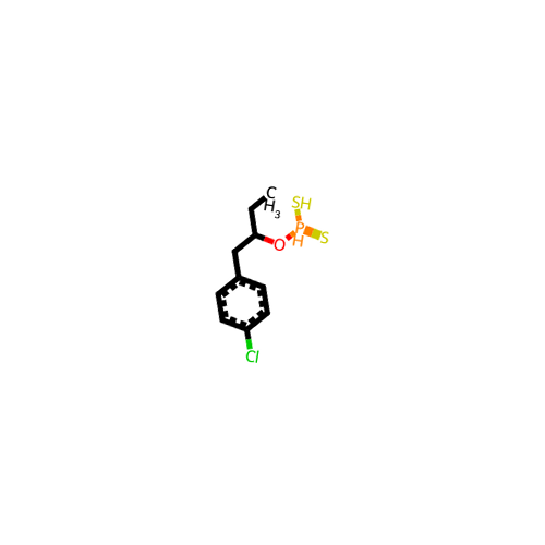 CCC(Cc1ccc(Cl)cc1)O[PH](=S)S